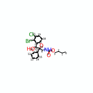 CCCCOC(=O)NC[C@]1(c2ccccc2)Oc2ccc(Cl)c(Br)c2[C@@H]1O